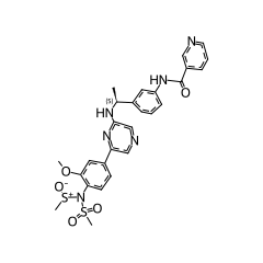 COc1cc(-c2cncc(N[C@@H](C)c3cccc(NC(=O)c4cccnc4)c3)n2)ccc1N([S+](C)[O-])S(C)(=O)=O